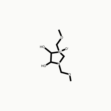 COCN1C[N+]([O-])(COC)C(O)C1O